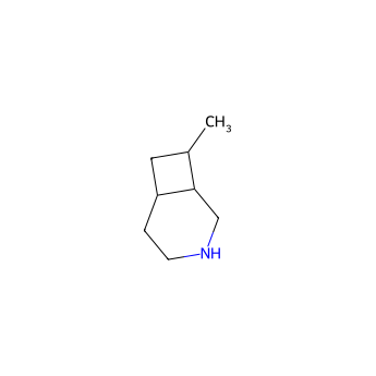 CC1CC2CCNCC12